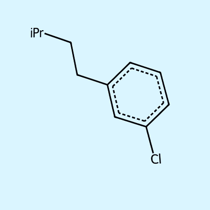 CC(C)CCc1cccc(Cl)c1